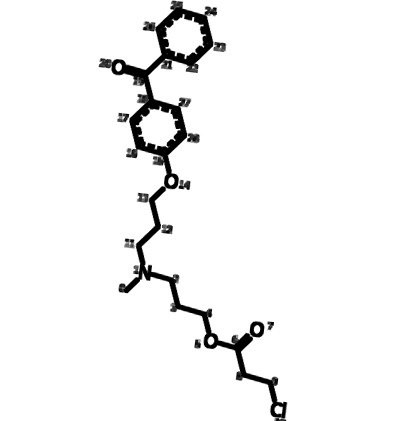 CN(CCCOC(=O)CCCl)CCCOc1ccc(C(=O)c2ccccc2)cc1